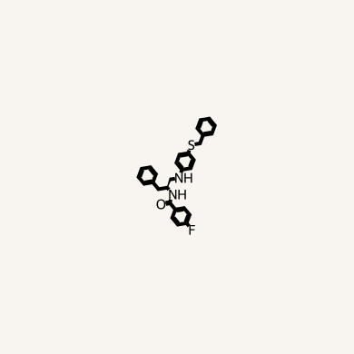 O=C(N[C@H](CNc1ccc(SCc2ccccc2)cc1)Cc1ccccc1)c1ccc(F)cc1